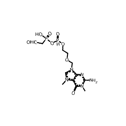 Cn1c(N)nc2c(c1=O)[n+](C)cn2COCCO[PH](=O)OP(=O)(O)CC=O